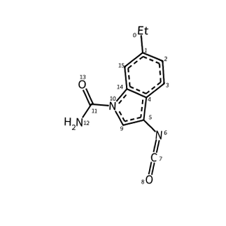 CCc1ccc2c(N=C=O)cn(C(N)=O)c2c1